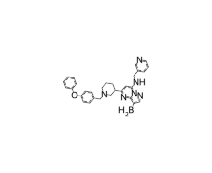 Bc1cnn2c(NCc3cccnc3)cc(C3CCCN(Cc4ccc(Oc5ccccc5)cc4)C3)nc12